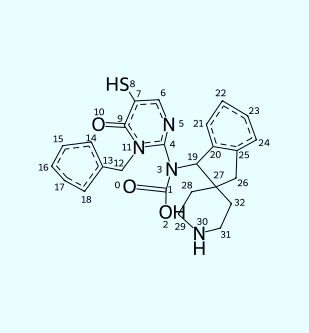 O=C(O)N(c1ncc(S)c(=O)n1Cc1ccccc1)C1c2ccccc2CC12CCNCC2